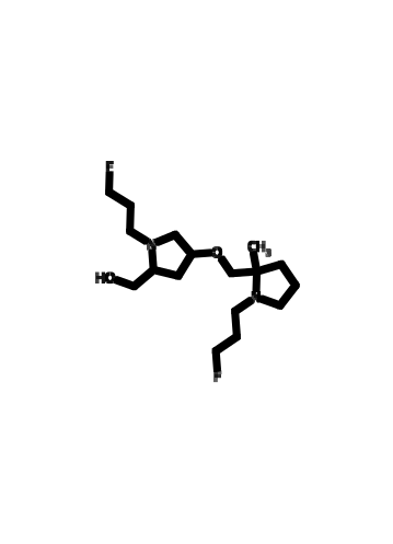 CC1(COC2CC(CO)N(CCCF)C2)CCCN1CCCF